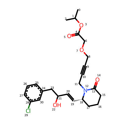 CC(C)OC(=O)COCC#CCN1C(=O)CCC[C@@H]1C=CC(O)Cc1cccc(Cl)c1